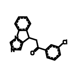 O=C(CC1c2ccccc2-n2cncc21)c1cccc(Cl)c1